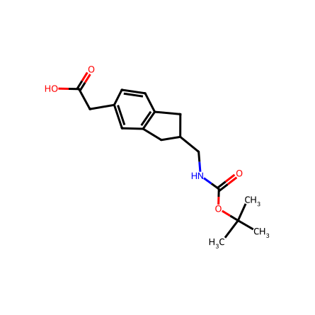 CC(C)(C)OC(=O)NCC1Cc2ccc(CC(=O)O)cc2C1